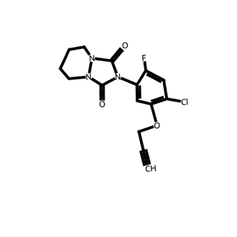 C#CCOc1cc(-n2c(=O)n3n(c2=O)CCCC3)c(F)cc1Cl